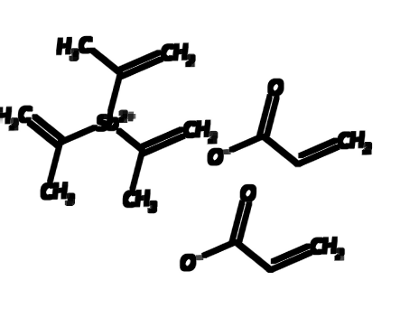 C=CC(=O)[O-].C=CC(=O)[O-].C=[C](C)[Sb+2]([C](=C)C)[C](=C)C